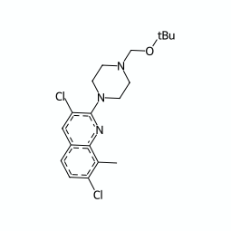 Cc1c(Cl)ccc2cc(Cl)c(N3CCN(COC(C)(C)C)CC3)nc12